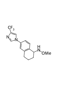 CONC1CCCc2cc(-n3cnc(C(F)(F)F)c3)ccc21